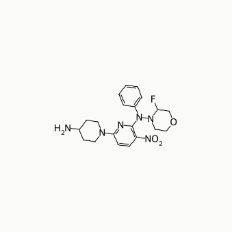 NC1CCN(c2ccc([N+](=O)[O-])c(N(c3ccccc3)N3CCOCC3F)n2)CC1